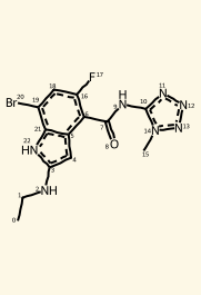 CCNc1cc2c(C(=O)Nc3nnnn3C)c(F)cc(Br)c2[nH]1